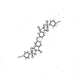 O=C1c2ccc(Oc3ccc4c(c3)C(=O)N(OS(=O)(=O)c3ccc(I)cc3)C4=O)cc2C(=O)N1OS(=O)(=O)c1ccc(I)cc1